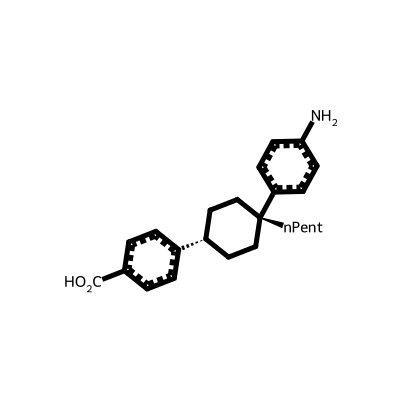 CCCCC[C@]1(c2ccc(N)cc2)CC[C@@H](c2ccc(C(=O)O)cc2)CC1